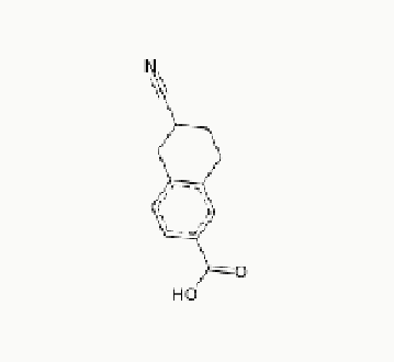 N#CC1CCc2cc(C(=O)O)ccc2C1